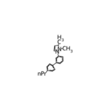 CCCc1ccc(-c2cccc(N3C=CC(C)N3C)c2)cc1